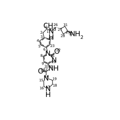 CC(Cc1ccc(-n2ccc(NC(=O)N3CCNCC3)nc2=O)cc1)NC[C@H]1C[C@H](N)C1